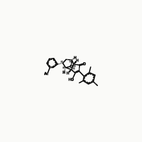 CC(=O)c1cccc([C@@H]2C[C@@H]3O[C@H]2[C@H]2C(O)=C(c4c(C)cc(C)cc4C)C(=O)[C@H]23)c1